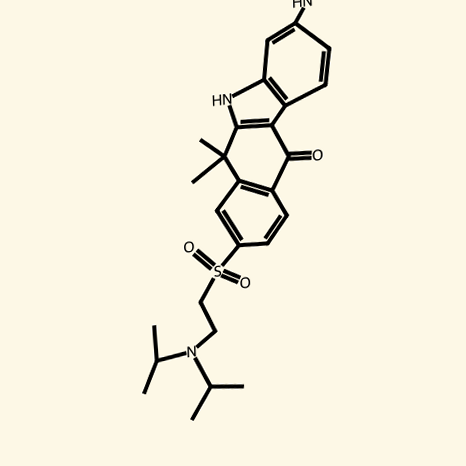 CNc1ccc2c3c([nH]c2c1)C(C)(C)c1cc(S(=O)(=O)CCN(C(C)C)C(C)C)ccc1C3=O